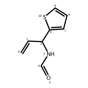 C=CC(N[C]=O)c1cccs1